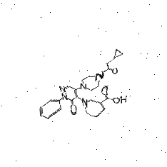 O=C(O)C1CCCN(c2c(N3CCN(C(=O)CC4CC4)CC3)cnn(-c3ccccc3)c2=O)C1